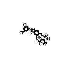 CC(C)CC(NC(Cc1ccc(C(=O)Nc2cc(Cl)cc(Cl)c2)cc1)C(=O)O)C(=O)O